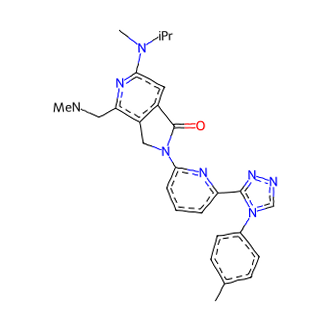 CNCc1nc(N(C)C(C)C)cc2c1CN(c1cccc(-c3nncn3-c3ccc(C)cc3)n1)C2=O